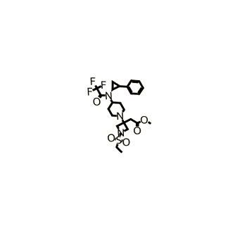 CCS(=O)(=O)N1CC(CC(=O)OC)(N2CCC(N(C(=O)C(F)(F)F)[C@@H]3CC3c3ccccc3)CC2)C1